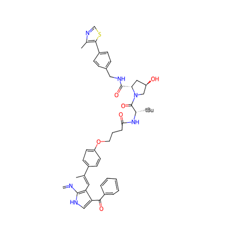 C=Nc1[nH]cc(C(=O)c2ccccc2)c1/C=C(\C)c1ccc(OCCCC(=O)N[C@H](C(=O)N2C[C@H](O)C[C@H]2C(=O)NCc2ccc(-c3scnc3C)cc2)C(C)(C)C)cc1